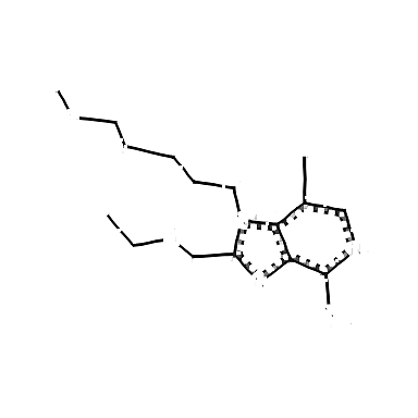 CCOCc1nc2c(N)ncc(C)c2n1CCCCCSC